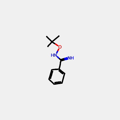 CC(C)(C)ONC(=N)c1ccccc1